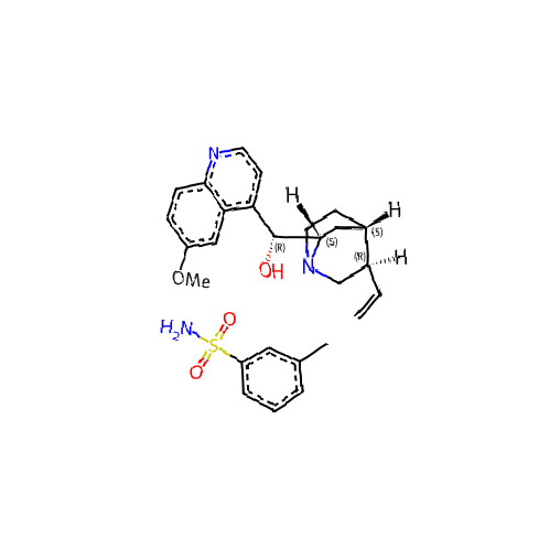 C=C[C@H]1CN2CC[C@H]1C[C@H]2[C@H](O)c1ccnc2ccc(OC)cc12.Cc1cccc(S(N)(=O)=O)c1